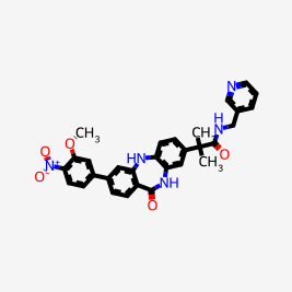 COc1cc(-c2ccc3c(c2)Nc2ccc(C(C)(C)C(=O)NCc4cccnc4)cc2NC3=O)ccc1[N+](=O)[O-]